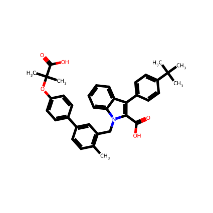 Cc1ccc(-c2ccc(OC(C)(C)C(=O)O)cc2)cc1Cn1c(C(=O)O)c(-c2ccc(C(C)(C)C)cc2)c2ccccc21